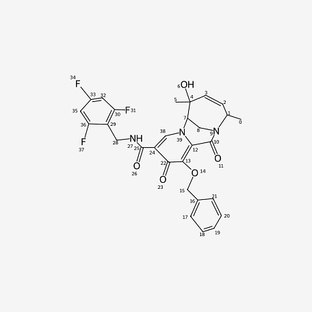 CC1C=CC(C)(O)C2CN1C(=O)c1c(OCc3ccccc3)c(=O)c(C(=O)NCc3c(F)cc(F)cc3F)cn12